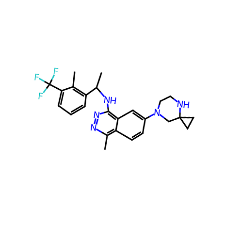 Cc1c(C(C)Nc2nnc(C)c3ccc(N4CCNC5(CC5)C4)cc23)cccc1C(F)(F)F